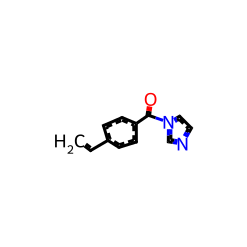 C=Cc1ccc(C(=O)n2ccnc2)cc1